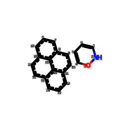 C1=CNOC=C1.c1cc2ccc3cccc4ccc(c1)c2c34